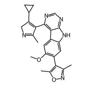 COc1cc2c(cc1-c1c(C)noc1C)[nH]c1ncnc(C3=C(C4CC4)CN=C3C)c12